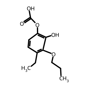 CCCOc1c(CC)ccc(OC(=O)O)c1O